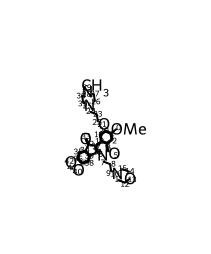 COc1cc2c(=O)n(CCCN3CCOCC3)c3c(c2cc1OCCCN1CCN(C)CC1)C(=O)c1cc2c(cc1-3)OCO2